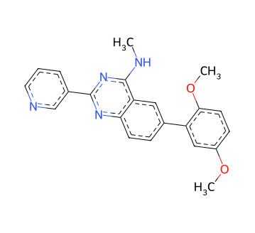 CNc1nc(-c2cccnc2)nc2ccc(-c3cc(OC)ccc3OC)cc12